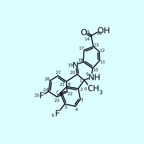 CC1(c2ccc(F)cc2)Nc2ccc(C(=O)O)cc2N=C1c1ccc(F)cc1